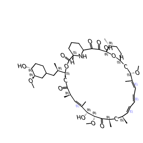 CO[C@H]1C[C@@H]2CC[C@@H](C)[C@@](O)(O2)C(=O)C(=O)C2CCC[C@H](N2)C(=O)O[C@H]([C@H](C)CC2CC[C@@H](O)[C@H](OC)C2)CC(=O)[C@H](C)/C=C(\C)[C@@H](O)[C@@H](OC)C(=O)[C@H](C)C[C@H](C)/C=C/C=C/C=C/1C